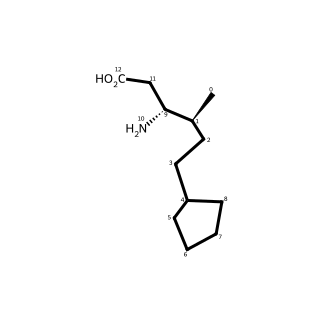 C[C@@H](CCC1CCCC1)[C@H](N)CC(=O)O